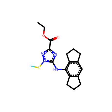 CCOC(=O)c1nc(Nc2c3c(cc4c2CCC4)CCC3)n(SF)n1